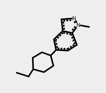 CCC1CCC(c2ccc3c(cnn3C)c2)CC1